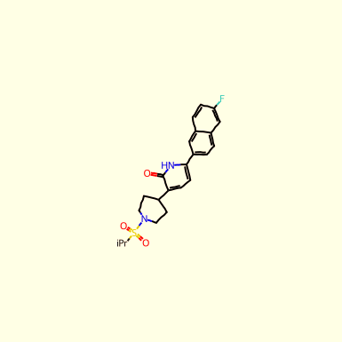 CC(C)S(=O)(=O)N1CCC(c2ccc(-c3ccc4cc(F)ccc4c3)[nH]c2=O)CC1